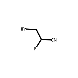 CC(C)CC(F)C#N